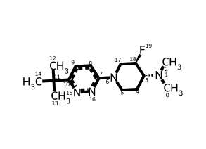 CN(C)[C@@H]1CCN(c2ccc(C(C)(C)C)nn2)C[C@H]1F